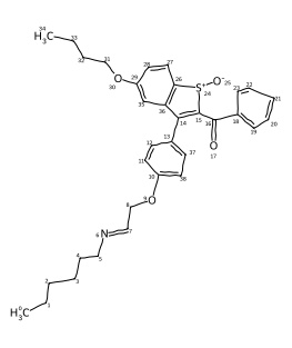 CCCCCCN=CCOc1ccc(-c2c(C(=O)c3ccccc3)[s+]([O-])c3ccc(OCCCC)cc23)cc1